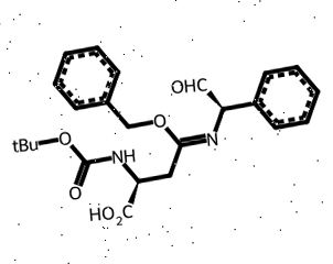 CC(C)(C)OC(=O)N[C@@H](CC(=N[C@@H](C=O)c1ccccc1)OCc1ccccc1)C(=O)O